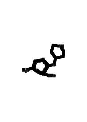 COc1cc(N)cnc1OC1CCNCC1